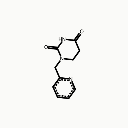 O=C1CCN(Cc2ccccn2)C(=O)N1